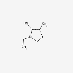 CCN1CCC(C)C1O